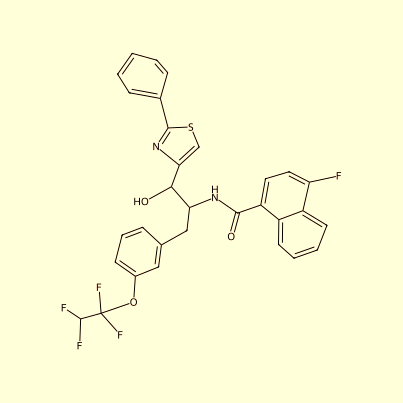 O=C(NC(Cc1cccc(OC(F)(F)C(F)F)c1)C(O)c1csc(-c2ccccc2)n1)c1ccc(F)c2ccccc12